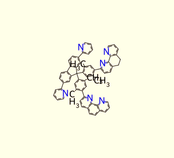 Cc1cc(C2(c3cc(C)c(-c4ccc5ccc6cccnc6c5n4)cc3C)c3cc(-c4ccccn4)ccc3-c3ccc(-c4ccccn4)cc32)c(C)cc1-c1ccc2c(n1)-c1ncccc1CC2